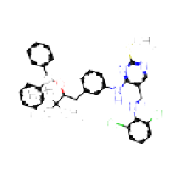 CSc1ncc(CNc2c(Cl)cccc2Cl)c(Nc2cccc(CC(O[SiH](c3ccccc3)c3ccccc3)C(C)(C)C)c2)n1